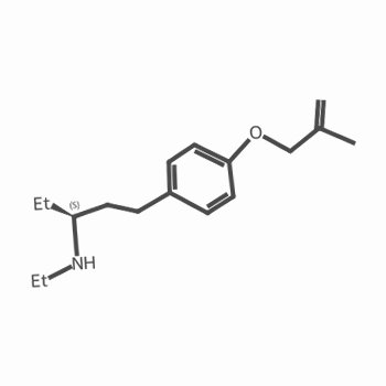 C=C(C)COc1ccc(CC[C@H](CC)NCC)cc1